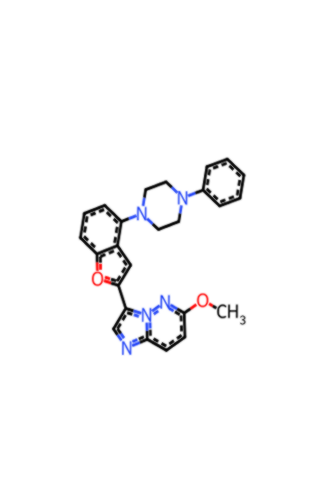 COc1ccc2ncc(-c3cc4c(N5CCN(c6ccccc6)CC5)cccc4o3)n2n1